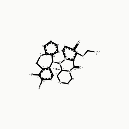 CC(=O)OCOc1c2n(ccc1=O)N([C@@H]1c3ccccc3SCc3c1ccc(F)c3F)[C@@H]1COCCN1C2=O